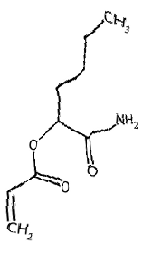 C=CC(=O)OC(CCCC)C(N)=O